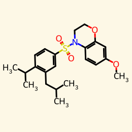 COc1ccc2c(c1)OCCN2S(=O)(=O)c1ccc(C(C)C)c(CC(C)C)c1